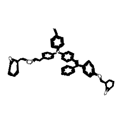 Cc1ccc(N(c2ccc(C=C(c3ccccc3)c3ccc(OCC4CCCC5OC45)cc3)cc2)c2ccc(CCOCC3CCCC4OC34)cc2)cc1